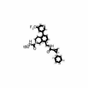 CC(C)(C)NC(=O)N1CCc2c(-c3cncc(C(F)(F)F)c3)ccc(CNC(=O)C3C[C@@H]3c3ccccc3)c2C1